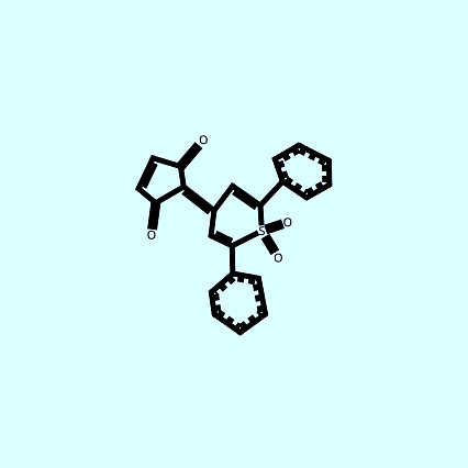 O=C1C=CC(=O)C1=C1C=C(c2ccccc2)S(=O)(=O)C(c2ccccc2)=C1